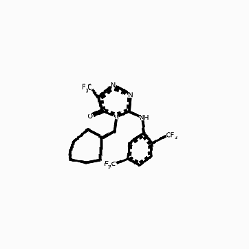 O=c1c(C(F)(F)F)nnc(Nc2cc(C(F)(F)F)ccc2C(F)(F)F)n1CC1CCCCC1